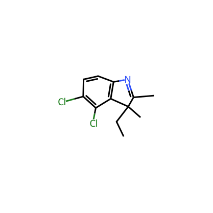 CCC1(C)C(C)=Nc2ccc(Cl)c(Cl)c21